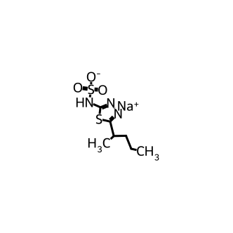 CCCC(C)c1nnc(NS(=O)(=O)[O-])s1.[Na+]